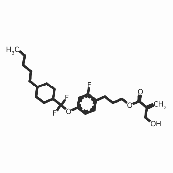 C=C(CO)C(=O)OCCCc1ccc(OC(F)(F)C2CCC(CCCCC)CC2)cc1F